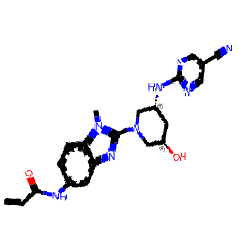 C=CC(=O)Nc1ccc2c(c1)nc(N1C[C@H](O)C[C@@H](Nc3ncc(C#N)cn3)C1)n2C